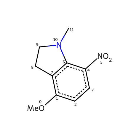 COc1ccc([N+](=O)[O-])c2c1CCN2C